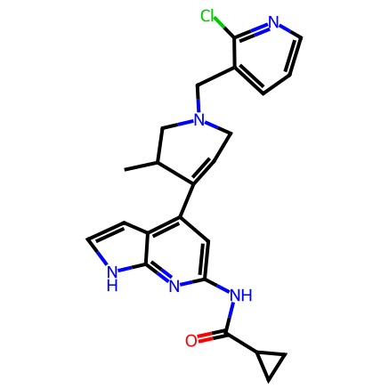 CC1CN(Cc2cccnc2Cl)CC=C1c1cc(NC(=O)C2CC2)nc2[nH]ccc12